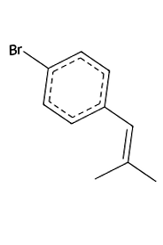 CC(C)=Cc1ccc(Br)cc1